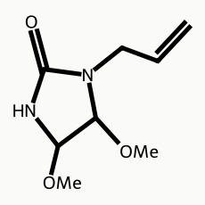 C=CCN1C(=O)NC(OC)C1OC